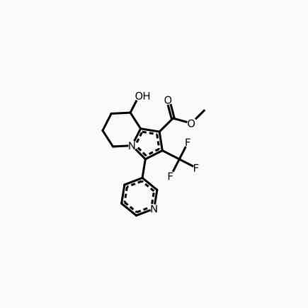 COC(=O)c1c(C(F)(F)F)c(-c2cccnc2)n2c1C(O)CCC2